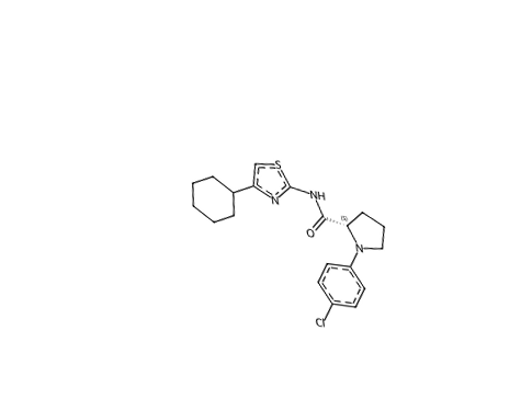 O=C(Nc1nc(C2CCCCC2)cs1)[C@@H]1CCCN1c1ccc(Cl)cc1